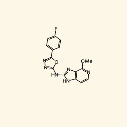 COc1nccc2[nH]c(Nc3nnc(-c4ccc(F)cc4)o3)nc12